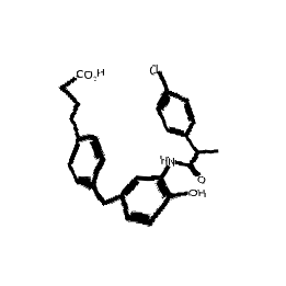 CC(C(=O)Nc1cc(Cc2ccc(CCCC(=O)O)cc2)ccc1O)c1ccc(Cl)cc1